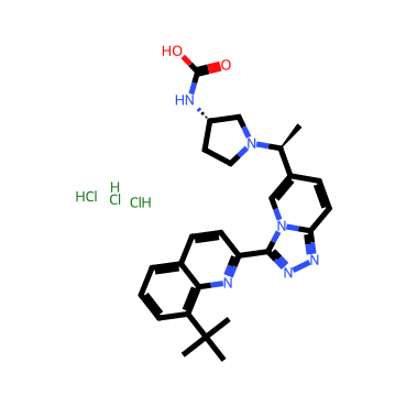 C[C@@H](c1ccc2nnc(-c3ccc4cccc(C(C)(C)C)c4n3)n2c1)N1CC[C@H](NC(=O)O)C1.Cl.Cl.Cl